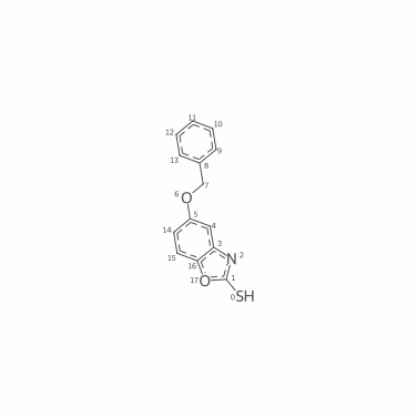 Sc1nc2cc(OCc3ccccc3)ccc2o1